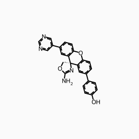 NC1=N[C@]2(CO1)c1cc(-c3ccc(O)cc3)ccc1Oc1ccc(-c3cncnc3)cc12